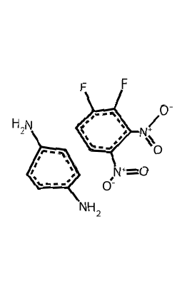 Nc1ccc(N)cc1.O=[N+]([O-])c1ccc(F)c(F)c1[N+](=O)[O-]